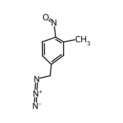 Cc1cc(CN=[N+]=[N-])ccc1N=O